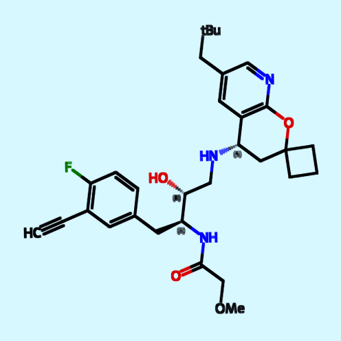 C#Cc1cc(C[C@H](NC(=O)COC)[C@H](O)CN[C@H]2CC3(CCC3)Oc3ncc(CC(C)(C)C)cc32)ccc1F